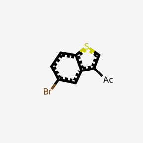 CC(=O)c1csc2ccc(Br)cc12